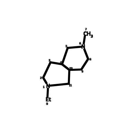 CCN1CCC2CN(C)CCC2C1